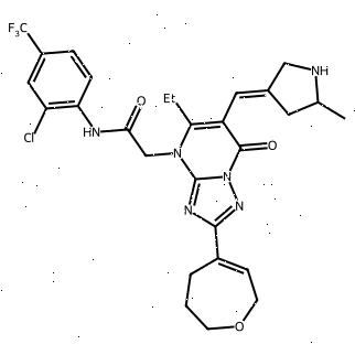 CCc1c(C=C2CNC(C)C2)c(=O)n2nc(C3=CCOCCC3)nc2n1CC(=O)Nc1ccc(C(F)(F)F)cc1Cl